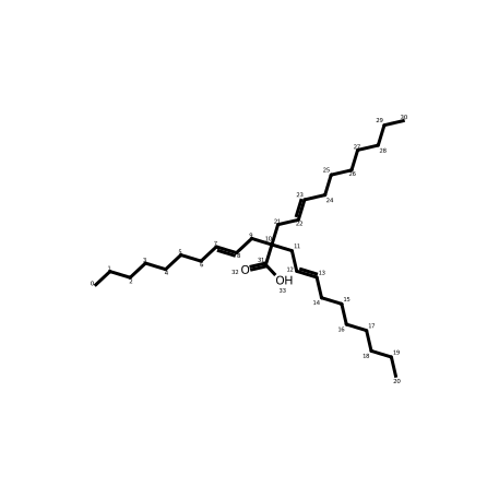 CCCCCCC/C=C/CC(C/C=C/CCCCCCC)(C/C=C/CCCCCCC)C(=O)O